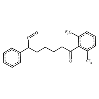 O=PC(CCCCC(=O)c1c(C(F)(F)F)cccc1C(F)(F)F)c1ccccc1